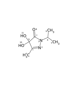 CC1=NN(C(C)C)C(=O)C1(O)O